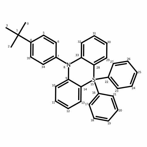 CC(C)(C)c1ccc(N2c3ccccc3S(c3ccccc3)(c3ccccc3)c3ccccc32)cc1